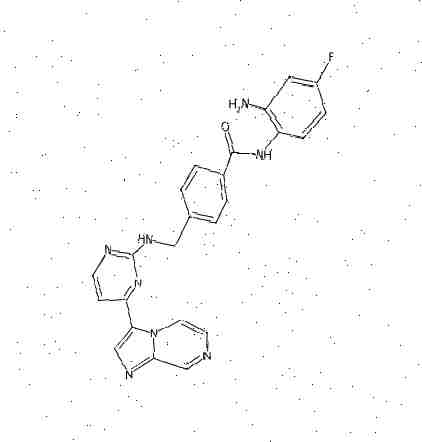 Nc1cc(F)ccc1NC(=O)c1ccc(CNc2nccc(-c3cnc4cnccn34)n2)cc1